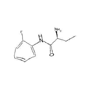 CC[C@H](N)C(=O)Nc1ccccc1F